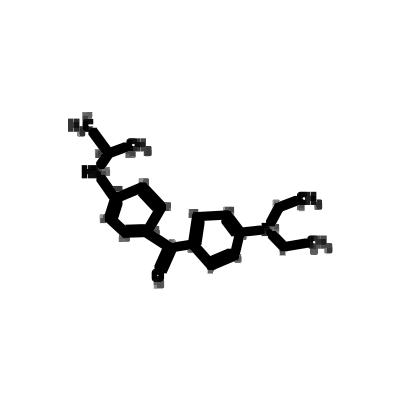 CCN(CC)c1ccc(C(=O)c2ccc(NC(C)C)cc2)cc1